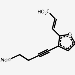 CCCCCCCCCCCC#Cc1ccoc1/C=C/C(=O)O